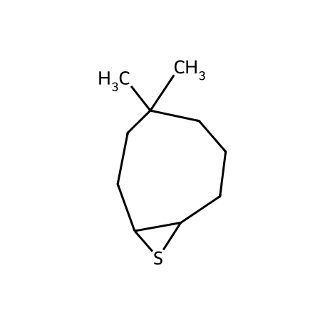 CC1(C)CCCC2SC2CC1